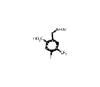 CC(=O)NCc1cc(C(F)(F)F)c(I)cc1C(=O)O